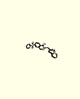 O=c1c2ccc(S(=O)(=O)c3ccccc3)cc2cnn1Cc1cc2ccccn2n1